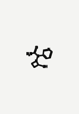 NC(=O)N(c1cccnc1)N1CCC1O